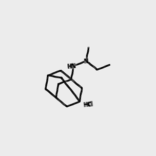 CCN(C)NC12CC3CC(CC(C3)C1)C2.Cl